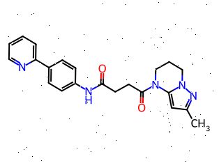 Cc1cc2n(n1)CCCN2C(=O)CCC(=O)Nc1ccc(-c2ccccn2)cc1